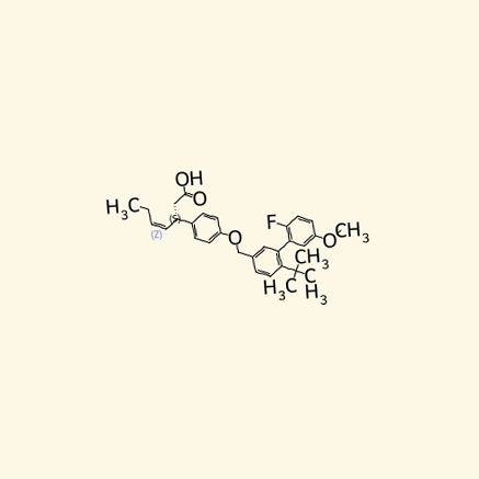 CC/C=C\[C@H](CC(=O)O)c1ccc(OCc2ccc(C(C)(C)C)c(-c3cc(OC)ccc3F)c2)cc1